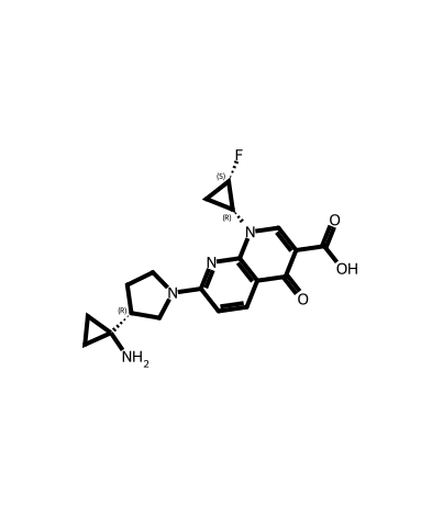 NC1([C@@H]2CCN(c3ccc4c(=O)c(C(=O)O)cn([C@@H]5C[C@@H]5F)c4n3)C2)CC1